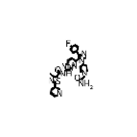 Cc1nc(-c2cccnc2)sc1C(=O)Nc1cn2nc(-c3c(-c4ccc(F)cc4)ncn3C3CCN(CC(N)=O)CC3)ccc2n1